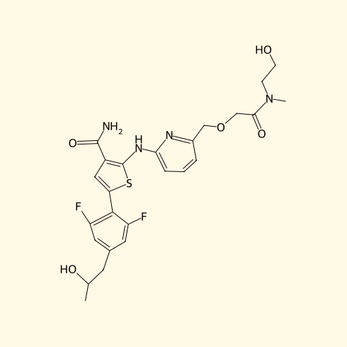 CC(O)Cc1cc(F)c(-c2cc(C(N)=O)c(Nc3cccc(COCC(=O)N(C)CCO)n3)s2)c(F)c1